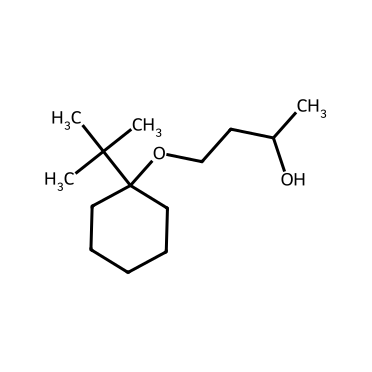 CC(O)CCOC1(C(C)(C)C)CCCCC1